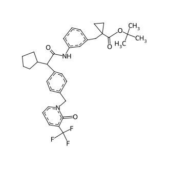 CC(C)(C)OC(=O)C1(Cc2cccc(NC(=O)C(c3ccc(Cn4cccc(C(F)(F)F)c4=O)cc3)C3CCCC3)c2)CC1